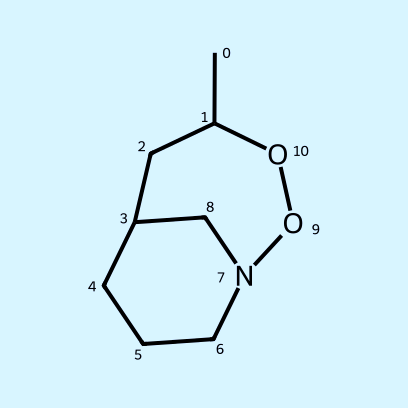 CC1CC2CCCN(C2)OO1